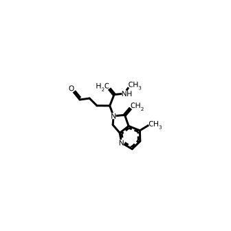 C=C(NC)C(CCC=O)N1Cc2nccc(C)c2C1=C